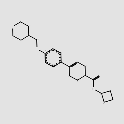 O=C(NC1CCC1)C1CC=C(c2ccc(OCC3CCNCC3)cc2)CC1